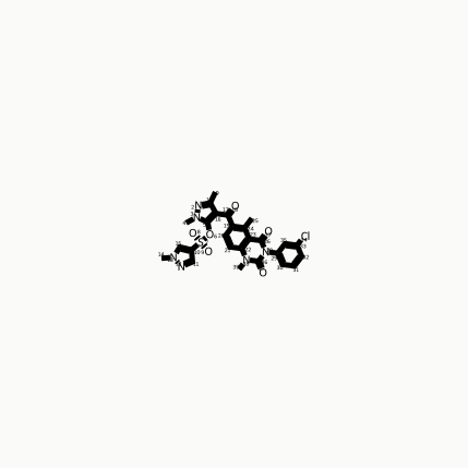 Cc1nn(C)c(OS(=O)(=O)c2cnn(C)c2)c1C(=O)c1ccc2c(c1C)c(=O)n(-c1cccc(Cl)c1)c(=O)n2C